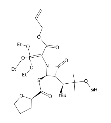 C=CCOC(=O)C(N1C(=O)[C@H]([C@H](C(C)(C)C)C(C)(C)O[SiH3])[C@H]1SC(=O)[C@H]1CCCO1)=P(OCC)(OCC)OCC